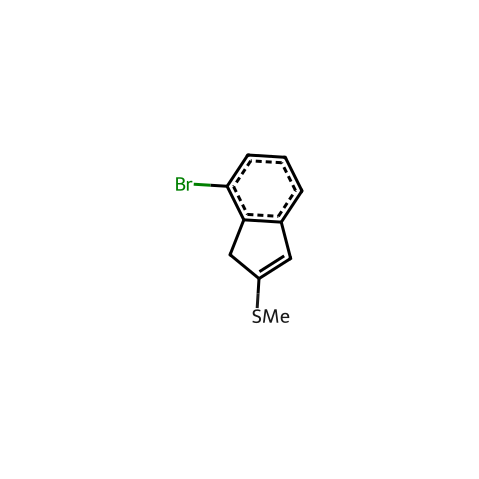 CSC1=Cc2cccc(Br)c2C1